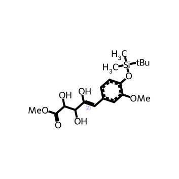 COC(=O)C(O)C(O)/C(O)=C/c1ccc(O[Si](C)(C)C(C)(C)C)c(OC)c1